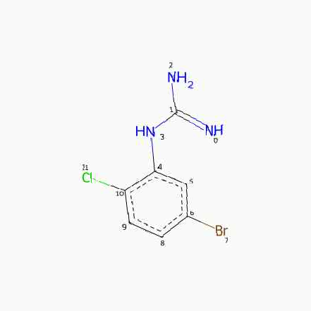 N=C(N)Nc1cc(Br)ccc1Cl